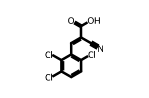 N#C/C(=C\c1c(Cl)ccc(Cl)c1Cl)C(=O)O